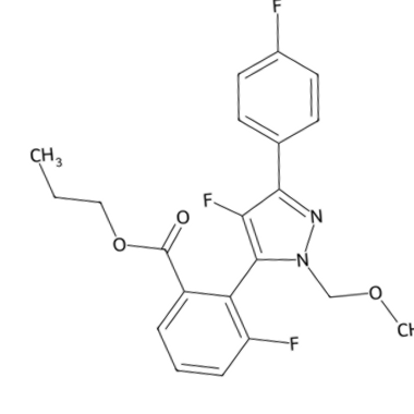 CCCOC(=O)c1cccc(F)c1-c1c(F)c(-c2ccc(F)cc2)nn1COC